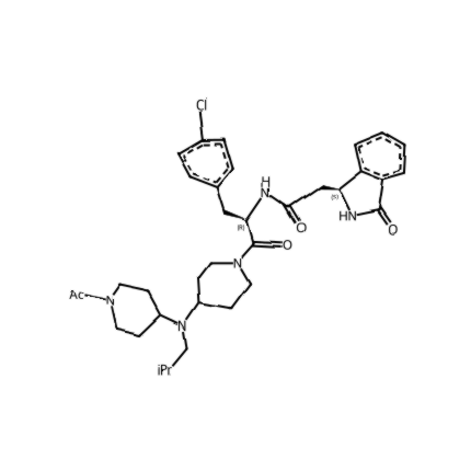 CC(=O)N1CCC(N(CC(C)C)C2CCN(C(=O)[C@@H](Cc3ccc(Cl)cc3)NC(=O)C[C@@H]3NC(=O)c4ccccc43)CC2)CC1